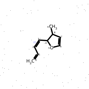 C=C/C=C\C1OC=CC1C